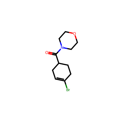 O=C(C1CC=C(Br)CC1)N1CCOCC1